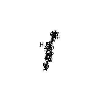 CC(C)(C)OC(=O)CCC1CCC2C3CCC4C[C@H](OC(=O)[C@@H](N)CCCCNC(=O)OC(C)(C)C)CC[C@]4(C)C3CC[C@]12C